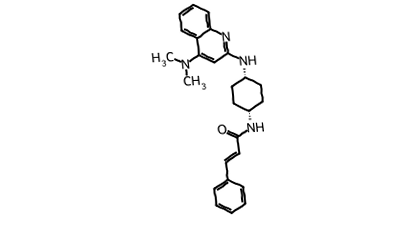 CN(C)c1cc(N[C@H]2CC[C@@H](NC(=O)C=Cc3ccccc3)CC2)nc2ccccc12